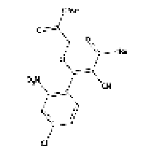 COC(=O)CO/C(=C(/C#N)C(=O)C(C)(C)C)c1ccc(Cl)cc1[N+](=O)[O-]